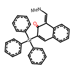 CN/C=C1\C(=O)C([Si](c2ccccc2)(c2ccccc2)c2ccccc2)=Cc2ccccc21